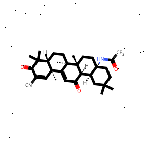 [C-]#[N+]C1=C[C@]2(C)C3=CC(=O)[C@@H]4[C@@H]5CC(C)(C)CC[C@]5(NC(=O)C(F)(F)F)CC[C@@]4(C)[C@]3(C)CC[C@H]2C(C)(C)C1=O